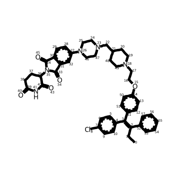 CC/C(=C(\c1ccc(Cl)cc1)c1ccc(OCCN2CCC(CN3CCN(c4ccc5c(c4)C(=O)N(C4CCC(=O)NC4=O)C5=O)CC3)CC2)cc1)c1ccccc1